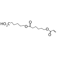 C=CC(=O)OCCCCCC(=O)OCCCCCC(=O)O